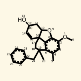 COc1cc(C)c2c3c1OC1C[C@H](O)C=CC31CCC2(C)Cc1ccccc1